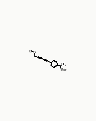 CCOCC#CC#Cc1ccc(C(NC)C(F)(F)F)cc1